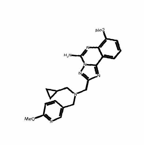 COc1ccc(CN(Cc2nc3c4cccc(OC)c4nc(N)n3n2)CC2CC2)cn1